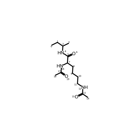 CCC(C)NC(=O)C(CCCCNC(C)=O)NC(C)=O